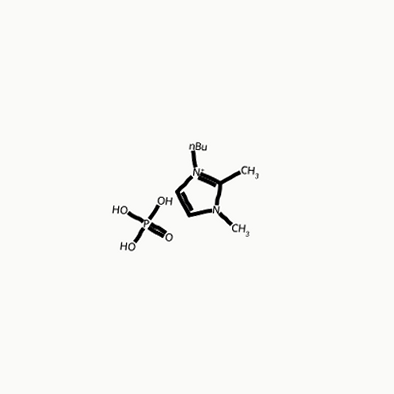 CCCC[n+]1ccn(C)c1C.O=P(O)(O)O